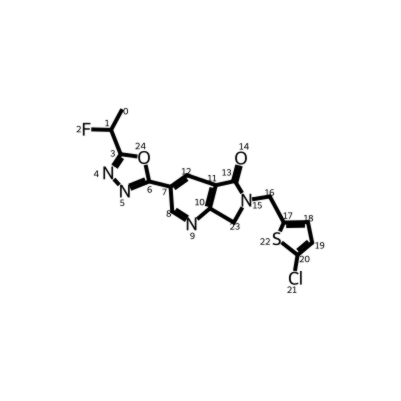 CC(F)c1nnc(-c2cnc3c(c2)C(=O)N(Cc2ccc(Cl)s2)C3)o1